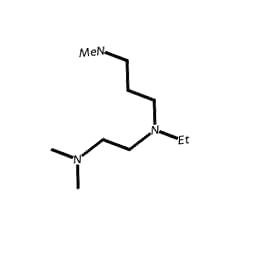 CCN(CCCNC)CCN(C)C